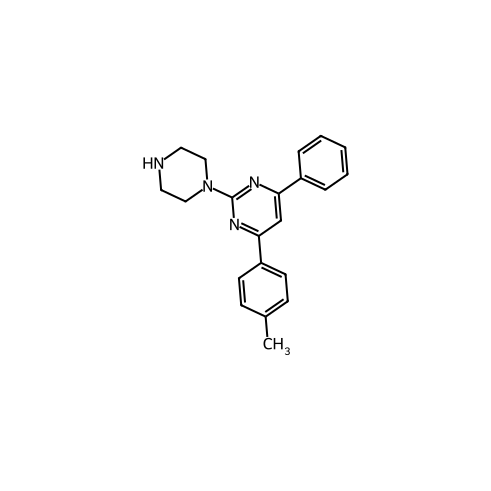 Cc1ccc(-c2cc(-c3ccccc3)nc(N3CCNCC3)n2)cc1